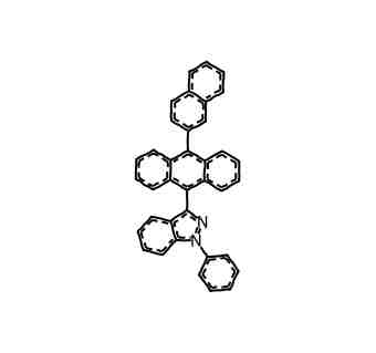 c1ccc(-n2nc(-c3c4ccccc4c(-c4ccc5ccccc5c4)c4ccccc34)c3ccccc32)cc1